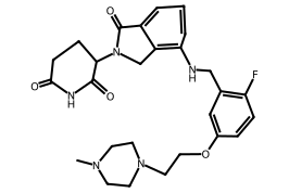 CN1CCN(CCOc2ccc(F)c(CNc3cccc4c3CN(C3CCC(=O)NC3=O)C4=O)c2)CC1